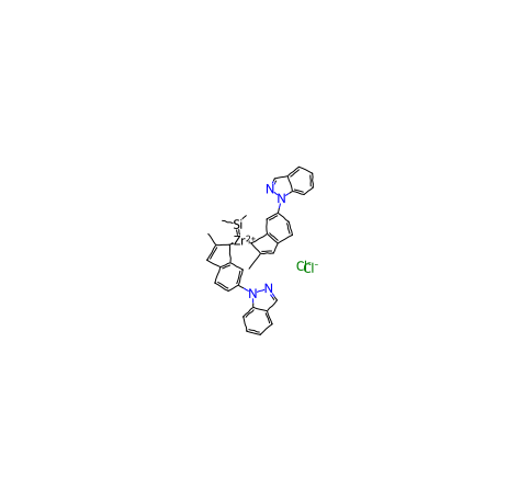 CC1=Cc2ccc(-n3ncc4ccccc43)cc2[C@@H]1[Zr+2]([C@H]1C(C)=Cc2ccc(-n3ncc4ccccc43)cc21)=[Si](C)C.[Cl-].[Cl-]